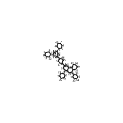 c1ccc(-c2nc(-c3ccccc3)nc(-c3ccc(-c4cc(-c5ccccc5)c5cc(-c6ccccc6)c6ccccc6c5n4)cc3)n2)cc1